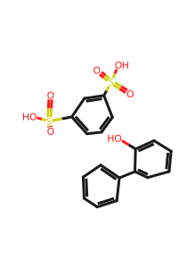 O=S(=O)(O)c1cccc(S(=O)(=O)O)c1.Oc1ccccc1-c1ccccc1